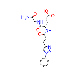 NC(=O)CNC(=O)[C@H](CCC(=O)O)NC(=O)CCc1cn(-c2ccccc2)nn1